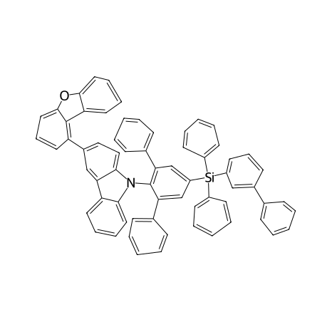 c1ccc(-c2cccc([Si](c3ccccc3)(c3ccccc3)c3cc(-c4ccccc4)c(-n4c5ccccc5c5cc(-c6cccc7oc8ccccc8c67)ccc54)c(-c4ccccc4)c3)c2)cc1